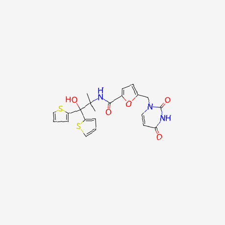 CC(C)(NC(=O)c1ccc(Cn2ccc(=O)[nH]c2=O)o1)C(O)(c1cccs1)c1cccs1